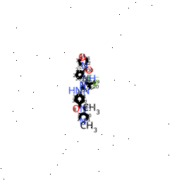 CN1CCC(N(C)C(=O)c2ccc(Nc3ncc(C(F)(F)F)c(N[C@@H]4CCC[C@@H]4C(=O)N4CCOCC4)n3)cc2)CC1